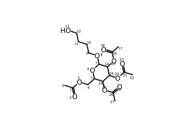 CC(=O)OCC1OC(OCCCCO)C(OC(C)=O)C(OC(C)=O)C1OC(C)=O